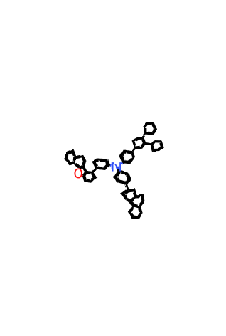 c1ccc(-c2ccc(-c3ccc(N(c4ccc(-c5ccc6c(ccc7ccccc76)c5)cc4)c4cccc(-c5cccc6oc7c8ccccc8ccc7c56)c4)cc3)cc2-c2ccccc2)cc1